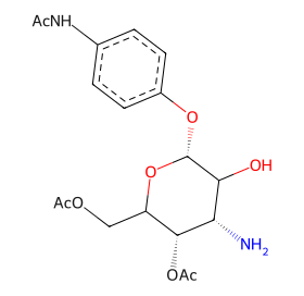 CC(=O)Nc1ccc(O[C@H]2OC(COC(C)=O)[C@@H](OC(C)=O)[C@@H](N)C2O)cc1